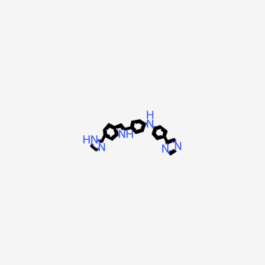 c1cnc(-c2ccc(Nc3ccc(-c4cc5ccc(C6=NCCN6)cc5[nH]4)cc3)cc2)cn1